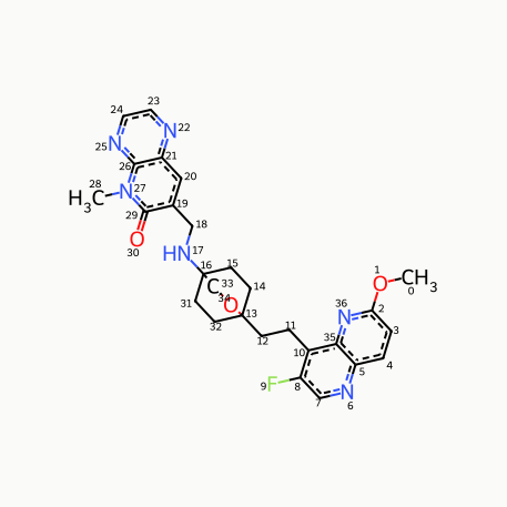 COc1ccc2ncc(F)c(CCC34CCC(NCc5cc6nccnc6n(C)c5=O)(CC3)CO4)c2n1